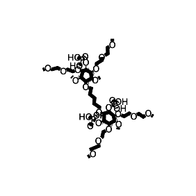 COCCOCCO[C@@H]1[C@@H](OC)[C@H](OCCOCCOC)[C@@H](OP(=O)(O)O)[C@@H](OCCCCCO[C@H]2[C@@H](OC)[C@H](OCCOCCOC)[C@@H](OP(=O)(O)O)[C@H](OCCOCCOC)[C@H]2OC)[C@H]1OP(=O)(O)O